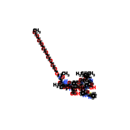 CCC(=O)N(CCOCCOCCOCCOCCOCCOCCOCCOCCOCCOCCOC)CCC(=O)NC(C(=O)N[C@@H](C)C(=O)Nc1ccc(COC(=O)N(CCOC23CC4(C)CC(C)(CC(Cn5ncc(-c6ccc(N7CCc8cccc(C(=O)Nc9nc%10ccccc%10s9)c8C7)nc6C(=O)O)c5C)(C4)C2)C3)CCS(=O)(=O)O)c(CC[C@H]2C[C@@H](O)C[C@@H](C(=O)O)O2)c1)C(C)C